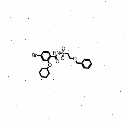 O=C(NS(=O)(=O)CCOCc1ccccc1)c1ccc(Br)cc1OC1CCCCC1